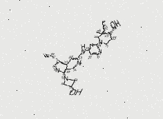 CC(C)c1cnc(N2CC(O)C2)c2cnc(Nc3ccnc(N4CC[C@@H](O)[C@@](C)(F)C4)n3)cc12